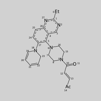 CCc1ncc2c(N3CCN(C(=O)/C=C/C(C)=O)CC3)c(N3C=CC=CC3)ccc2n1